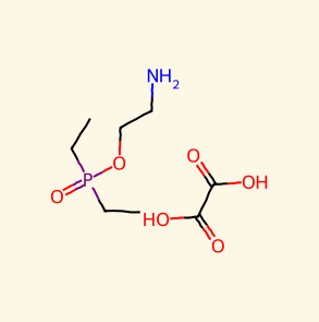 CCP(=O)(CC)OCCN.O=C(O)C(=O)O